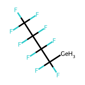 FC(F)(F)C(F)(F)C(F)(F)[C](F)(F)[GeH3]